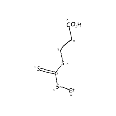 CCSC(=S)SCCC(=O)O